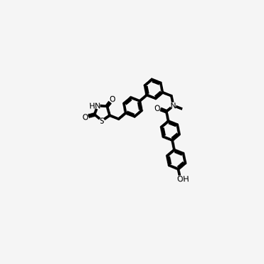 CN(Cc1cccc(-c2ccc(CC3SC(=O)NC3=O)cc2)c1)C(=O)c1ccc(-c2ccc(O)cc2)cc1